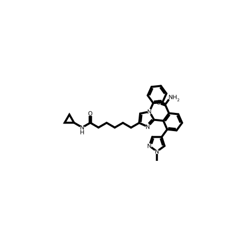 Cn1cc(-c2cccc(C(N)=O)c2-c2nc(CCCCCC(=O)NC3CC3)cn2-c2ccccc2)cn1